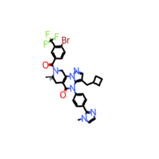 C[C@@H]1Cc2c(n3ncc(CC4CCC4)c3n(-c3ccc(-c4nccn4C)cc3)c2=O)CN1C(=O)c1ccc(Br)c(C(F)(F)F)c1